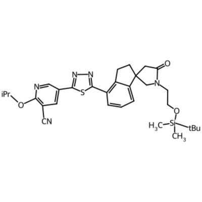 CC(C)Oc1ncc(-c2nnc(-c3cccc4c3CCC43CC(=O)N(CCO[Si](C)(C)C(C)(C)C)C3)s2)cc1C#N